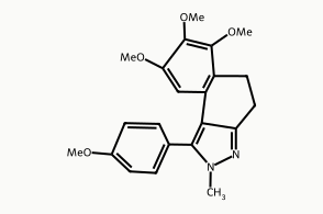 COc1ccc(-c2c3c(nn2C)CCc2c-3cc(OC)c(OC)c2OC)cc1